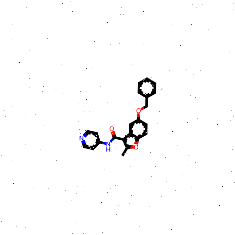 Cc1oc2ccc(OCc3ccccc3)cc2c1C(=O)Nc1ccncc1